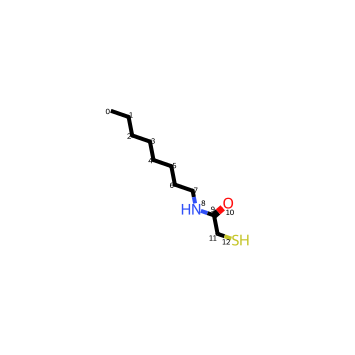 CCCCCCCCNC(=O)CS